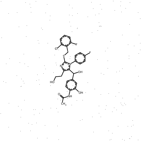 CC(=O)Nc1ccc(C(O)c2c(CCO)nc(SCc3c(F)cccc3Cl)n2-c2ccc(F)cc2)cc1O